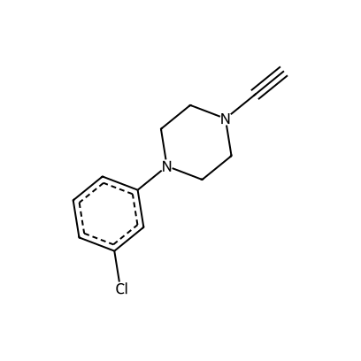 C#CN1CCN(c2cccc(Cl)c2)CC1